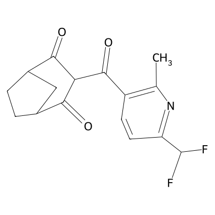 Cc1nc(C(F)F)ccc1C(=O)C1C(=O)C2CCC(C2)C1=O